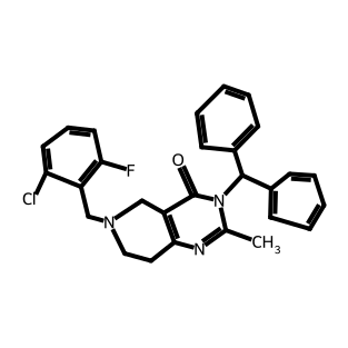 Cc1nc2c(c(=O)n1C(c1ccccc1)c1ccccc1)CN(Cc1c(F)cccc1Cl)CC2